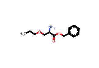 CCCOCC(N)C(=O)OCc1ccccc1